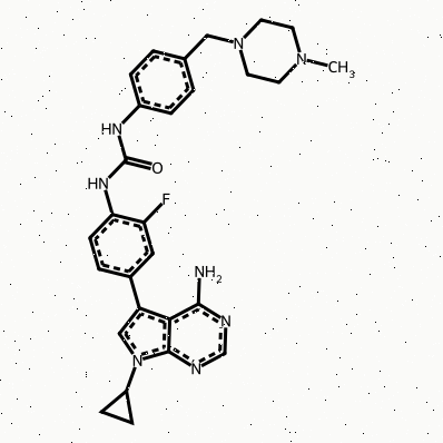 CN1CCN(Cc2ccc(NC(=O)Nc3ccc(-c4cn(C5CC5)c5ncnc(N)c45)cc3F)cc2)CC1